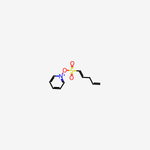 C=CCC=CS(=O)(=O)O[n+]1ccccc1